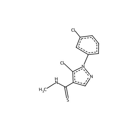 CNC(=S)c1cnn(-c2cccc(Cl)c2)c1Cl